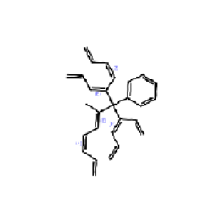 C=C/C=C\C=C(/C)C(/C(C=C)=C/C=C)(C(/C=C\C=C)=C/C=C)c1ccccc1